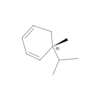 CC(C)[C@]1(C)C=CC=CC1